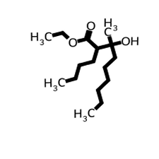 CCCCCCC(C)(O)C(CCCC)C(=O)OCC